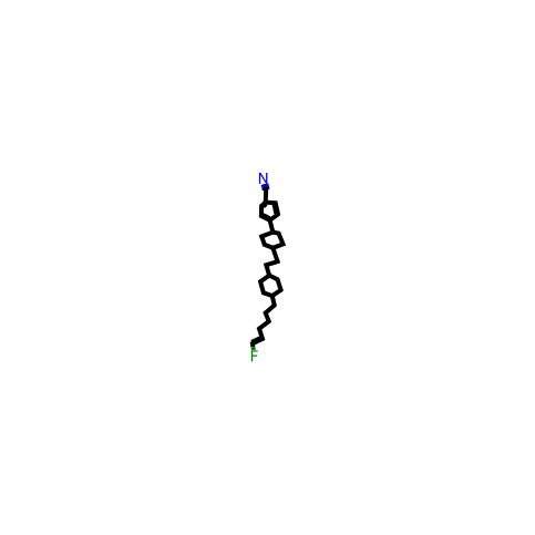 N#Cc1ccc(C2CCC(CCC3CCC(CCCC/C=C/F)CC3)CC2)cc1